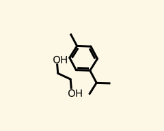 Cc1ccc(C(C)C)cc1.OCCO